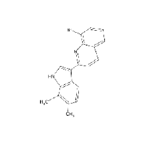 Cc1ccc2c(-c3ccc4cccc(Br)c4n3)c[nH]c2c1C